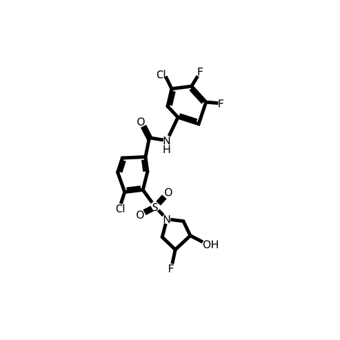 O=C(Nc1cc(F)c(F)c(Cl)c1)c1ccc(Cl)c(S(=O)(=O)N2CC(O)C(F)C2)c1